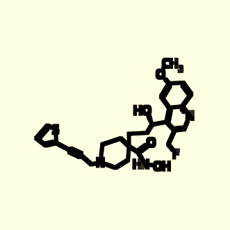 COc1ccc2ncc(CF)c([C@H](O)CCC3(C(=O)NO)CCN(CC#Cc4cccs4)CC3)c2c1